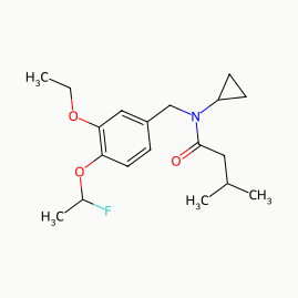 CCOc1cc(CN(C(=O)CC(C)C)C2CC2)ccc1OC(C)F